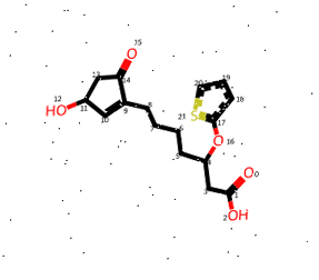 O=C(O)CC(CCCCC1=CC(O)CC1=O)Oc1cccs1